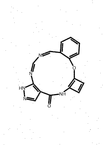 O=c1[nH]c2c(oc3ccccc3cncnc3[nH]ncc13)C=C2